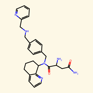 NC(=O)CC(N)C(=O)N(Cc1ccc(CNCc2ccccn2)cc1)C1CCCc2cccnc21